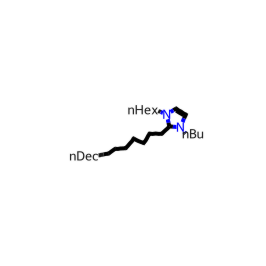 CCCCCCCCCCCCCCCCCC1N(CCCC)C=CN1CCCCCC